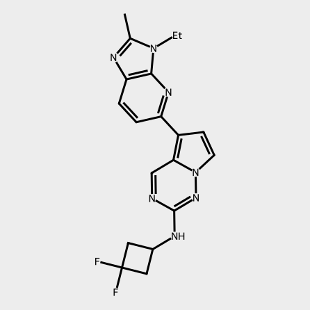 CCn1c(C)nc2ccc(-c3ccn4nc(NC5CC(F)(F)C5)ncc34)nc21